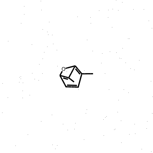 Cc1ccc2c(C)c1O2